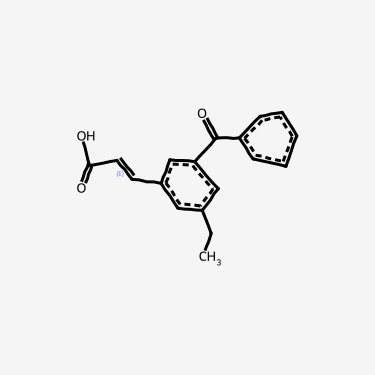 CCc1cc(/C=C/C(=O)O)cc(C(=O)c2ccccc2)c1